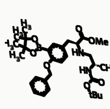 COC(=O)[C@H](Cc1ccc(OCc2ccccc2)c(B2OC(C)(C)C(C)(C)O2)c1)NC[C@H](C)NC(=O)OC(C)(C)C